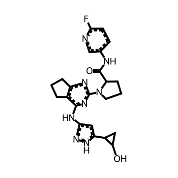 O=C(Nc1ccc(F)nc1)C1CCCN1c1nc2c(c(Nc3cc(C4CC4O)[nH]n3)n1)CCC2